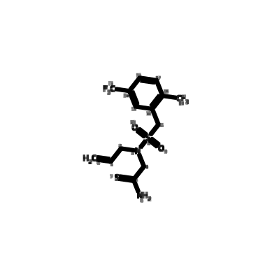 C=CCN(CC(N)=S)S(=O)(=O)Cc1cc(C(F)(F)F)ccc1C(F)(F)F